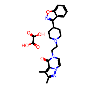 Cc1nn2ccn(CCN3CCC(c4noc5ccccc45)CC3)c(=O)c2c1C.O=C(O)C(=O)O